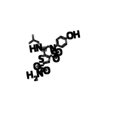 CC(C)CN[C@@H]1CN(c2ccc(O)cc2)S(=O)(=O)c2cc(S(N)(=O)=O)sc21